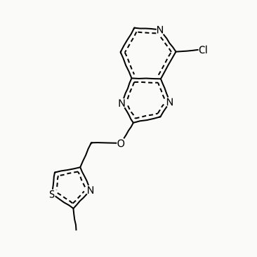 Cc1nc(COc2cnc3c(Cl)nccc3n2)cs1